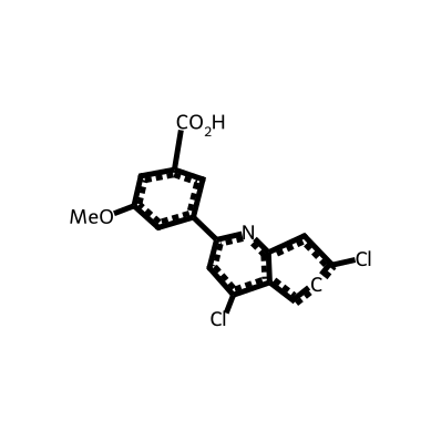 COc1cc(C(=O)O)cc(-c2cc(Cl)c3ccc(Cl)cc3n2)c1